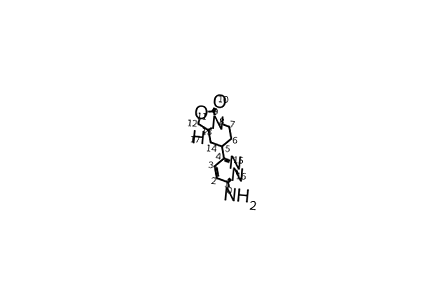 Nc1ccc(C2CCN3C(=O)OC[C@@H]3C2)nn1